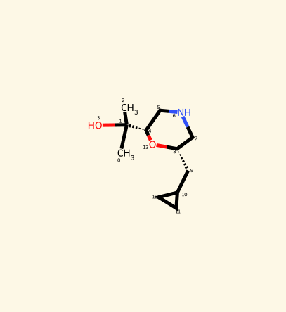 CC(C)(O)[C@@H]1CNC[C@H](CC2CC2)O1